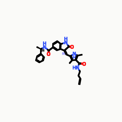 C=CCCNC(=O)c1c(C)[nH]c(/C=C2\C(=O)Nc3ccc(C(=O)N[C@H](C)c4ccccc4)cc32)c1C